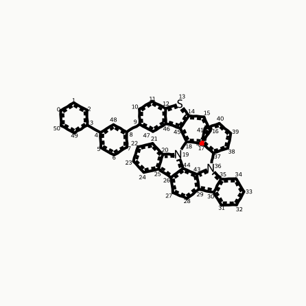 c1ccc(-c2cccc(-c3ccc4sc5cccc(-n6c7ccccc7c7ccc8c9ccccc9n(-c9ccccc9)c8c76)c5c4c3)c2)cc1